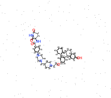 O=C1CCC(NC(=O)c2ccc(N3CCN(CC4CCN(CCOc5ccc([C@@H]6c7ccc(O)cc7CC[C@@H]6c6ccccc6)cc5)CC4)CC3)cc2)C(=O)N1